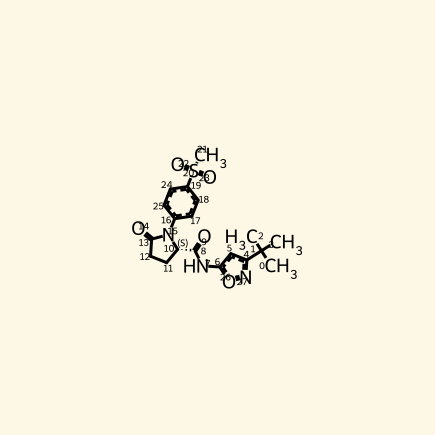 CC(C)(C)c1cc(NC(=O)[C@@H]2CCC(=O)N2c2ccc(S(C)(=O)=O)cc2)on1